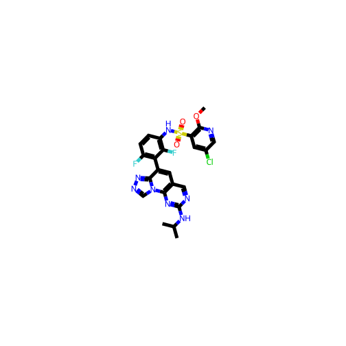 COc1ncc(Cl)cc1S(=O)(=O)Nc1ccc(F)c(-c2cc3cnc(NC(C)C)nc3n3cnnc23)c1F